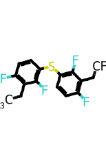 Fc1ccc(Sc2ccc(F)c(CC(F)(F)F)c2F)c(F)c1CC(F)(F)F